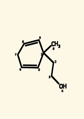 CC1(CCO)C=CCC=C1